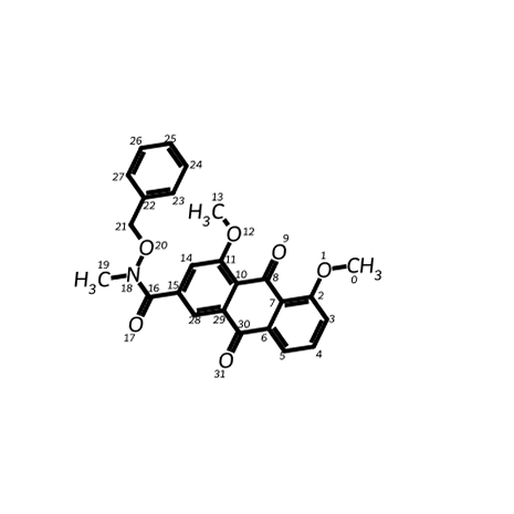 COc1cccc2c1C(=O)c1c(OC)cc(C(=O)N(C)OCc3ccccc3)cc1C2=O